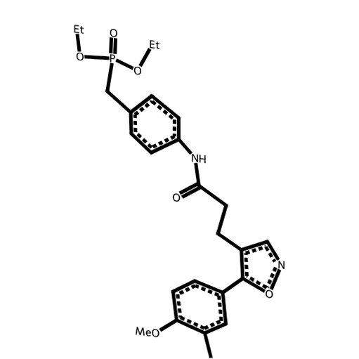 CCOP(=O)(Cc1ccc(NC(=O)CCc2cnoc2-c2ccc(OC)c(OC)c2)cc1)OCC